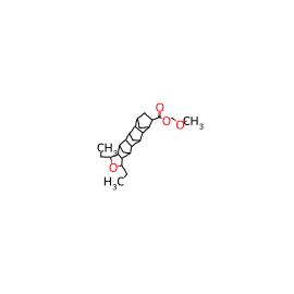 CCC1OC(CC)C2C3CC(C12)C1C2CC(C4C5CC(CC5C(=O)OCOC)C24)C31